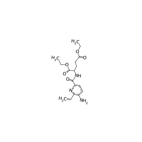 C=Cc1nc(C(=O)NC(CCC(=O)OCC)C(=O)OCC)ccc1N